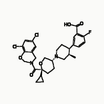 C[C@H]1CN([C@@H]2CC[C@@](C(=O)N3COc4c(Cl)cc(Cl)cc4C3)(C3CC3)OC2)CCC1c1ccc(F)c(C(=O)O)c1